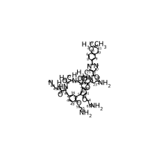 Cc1nc(-c2ccc3c(c2)CCC(C)(C)O3)ncc1C(=O)NC(CCN)C(=O)N(C)C1C(=O)NC(C)C(=O)NC(C(=O)NCC#N)Cc2ccc(OCCN)c(c2)-c2cc1ccc2OCCN